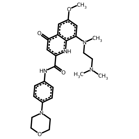 COc1cc(N(C)CCN(C)C)c2[nH]c(C(=O)Nc3ccc(N4CCOCC4)cc3)cc(=O)c2c1